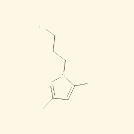 Cc1cc(C(C)(C)C)n(CCCO)n1